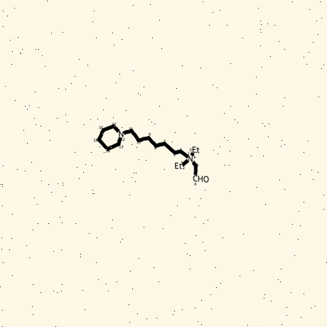 CC[N+](CC)(CC=O)CCCCCCCN1CCCCC1